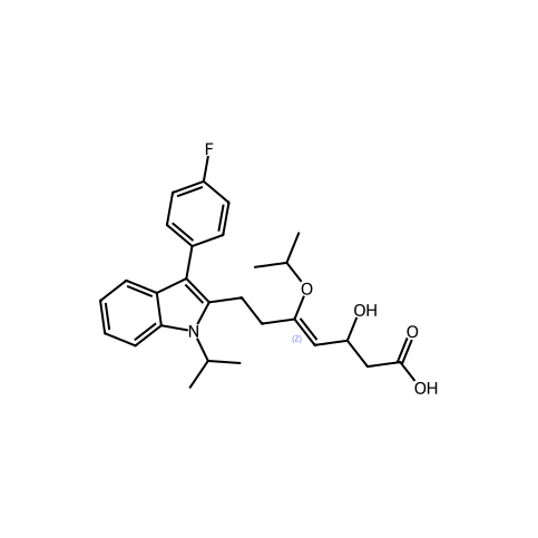 CC(C)O/C(=C\C(O)CC(=O)O)CCc1c(-c2ccc(F)cc2)c2ccccc2n1C(C)C